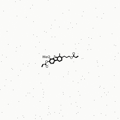 C=CC(=O)OCCCc1ccc2c(sc3c(OC)c(OC(=O)C=C)ccc32)c1C